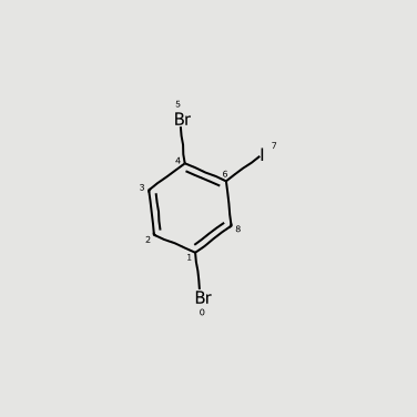 Brc1ccc(Br)c(I)c1